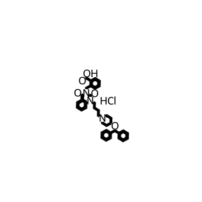 Cl.O=C(O)c1ccccc1Cn1c(=O)c2ccccc2n(CCCCN2CCC(OC(c3ccccc3)c3ccccc3)CC2)c1=O